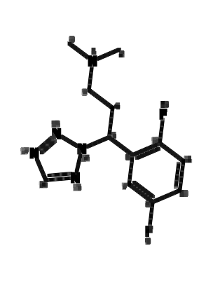 CN(C)CCC(c1cc(F)ccc1F)n1ncnn1